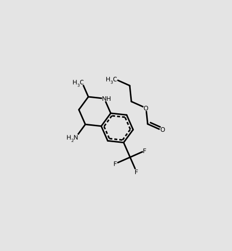 CC1CC(N)c2cc(C(F)(F)F)ccc2N1.CCCOC=O